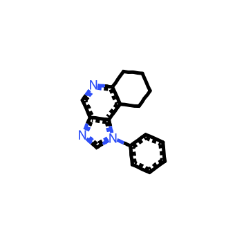 c1ccc(-n2cnc3cnc4c(c32)CCCC4)cc1